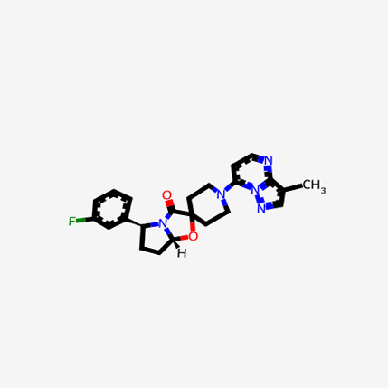 Cc1cnn2c(N3CCC4(CC3)O[C@@H]3CC[C@@H](c5cccc(F)c5)N3C4=O)ccnc12